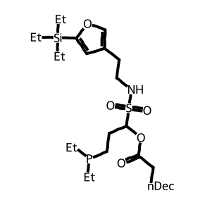 CCCCCCCCCCCC(=O)OC(CCP(CC)CC)S(=O)(=O)NCCc1coc([Si](CC)(CC)CC)c1